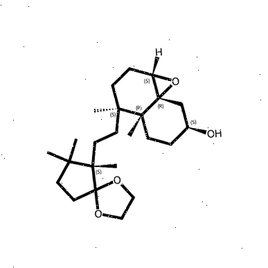 CC1(C)CCC2(OCCO2)[C@@]1(C)CC[C@@]1(C)CC[C@@H]2O[C@@]23C[C@@H](O)CC[C@]13C